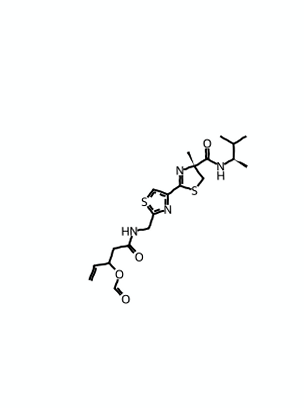 C=CC(CC(=O)NCc1nc(C2=N[C@](C)(C(=O)N[C@H](C)C(C)C)CS2)cs1)OC=O